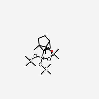 CC12CCC(C=C1[Si](O[Si](C)(C)C)(O[Si](C)(C)C)O[Si](C)(C)C)C2(C)C